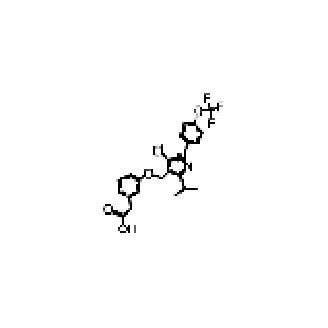 CC(C)c1nn(-c2ccc(OC(F)(F)F)cc2)c(Cl)c1COc1cccc(CC(=O)O)c1